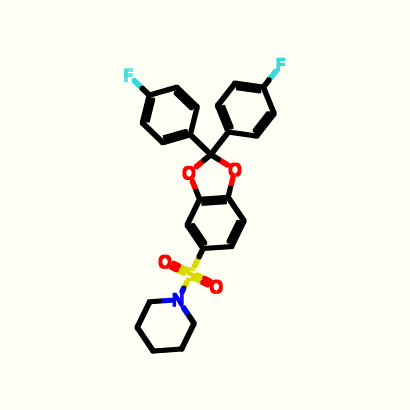 O=S(=O)(c1ccc2c(c1)OC(c1ccc(F)cc1)(c1ccc(F)cc1)O2)N1CCCCC1